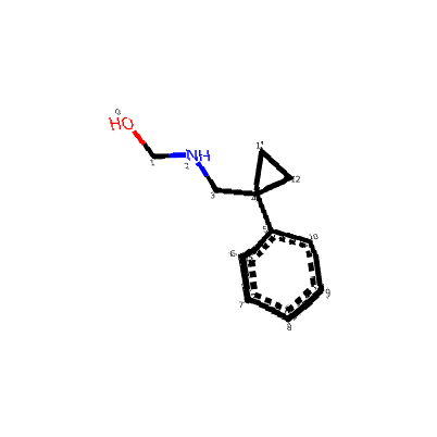 OCNCC1(c2ccccc2)CC1